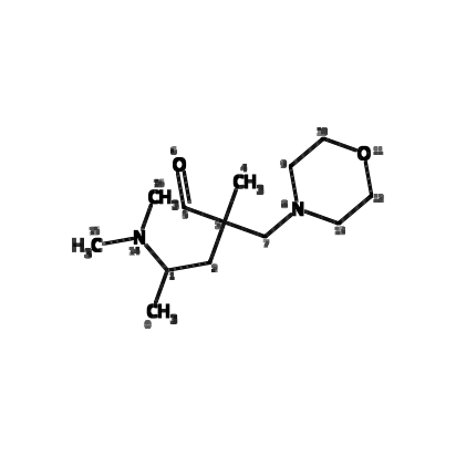 CC(CC(C)(C=O)CN1CCOCC1)N(C)C